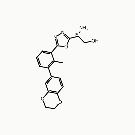 Cc1c(-c2ccc3c(c2)OCCO3)cccc1-c1nnc([C@H](N)CO)o1